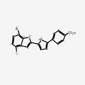 O=C(O)c1ccc(-c2ccc(-c3cc4c(F)ccc(Br)c4o3)[nH]2)cc1